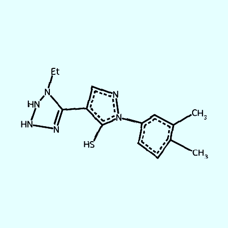 CCN1NNN=C1c1cnn(-c2ccc(C)c(C)c2)c1S